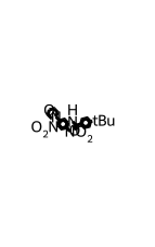 CC(C)(C)c1ccc(C(=O)Nc2cc(N3CCOCC3)c([N+](=O)[O-])cc2[N+](=O)[O-])cc1